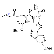 C/C=C/C(=O)CC[C@H](NC(=O)OC(C)(C)C)C(=O)N1C[C@H](Oc2nccc3cc(OC)ccc23)C[C@H]1C(N)=O